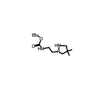 CC1(C)CNN(CCNC(=O)OC(C)(C)C)C1